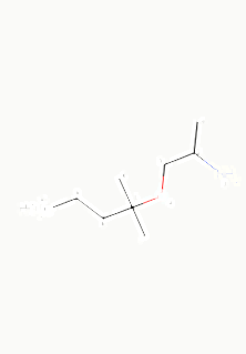 CC(N)COC(C)(C)CCC(=O)O